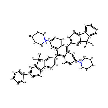 CC1(C)c2ccccc2-c2ccc(-c3c4ccc(N5CCCCC5)cc4c(-c4ccc5c(c4)C(C)(C)c4cc(-c6ccccc6)ccc4-5)c4ccc(N5CCCCC5)cc34)cc21